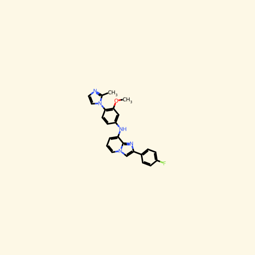 COc1cc(Nc2cccn3cc(-c4ccc(F)cc4)nc23)ccc1-n1ccnc1C